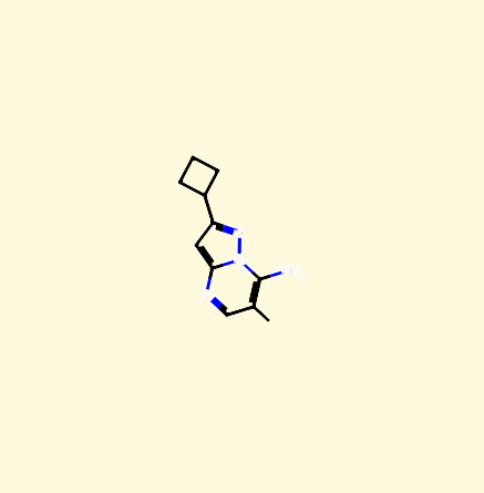 CCOC(=O)c1cnc2cc(C3CCC3)nn2c1N